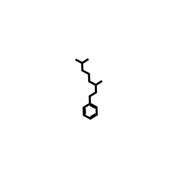 CC(C)CCCC(C)CCc1ccccc1